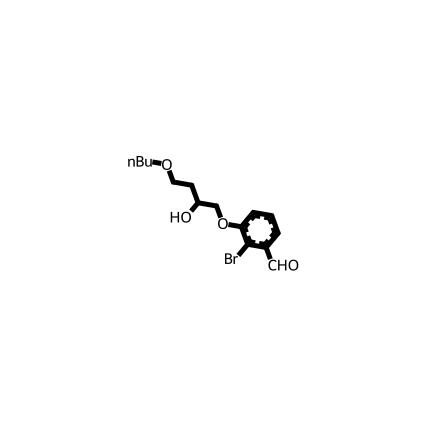 CCCCOCCC(O)COc1cccc(C=O)c1Br